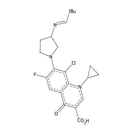 CC(C)(C)C=NC1CCN(c2c(F)cc3c(=O)c(C(=O)O)cn(C4CC4)c3c2Cl)C1